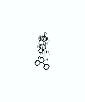 C[C@]12C=CC(=O)N[C@@H]1CC[C@@H]1[C@@H]2CC[C@]2(C)[C@@H](OC(=O)NC(c3ccccc3)c3ccccc3)CC[C@@H]12